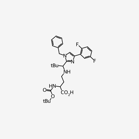 CC(C)(C)OC(=O)NC(CCNC(c1nc(-c2cc(F)ccc2F)cn1Cc1ccccc1)C(C)(C)C)C(=O)O